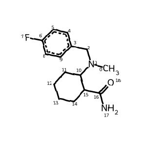 CN(Cc1ccc(F)cc1)C1CCCCC1C(N)=O